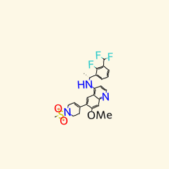 COc1cc2nccc(N[C@H](C)c3cccc(C(F)F)c3F)c2cc1C1=CCN(S(C)(=O)=O)CC1